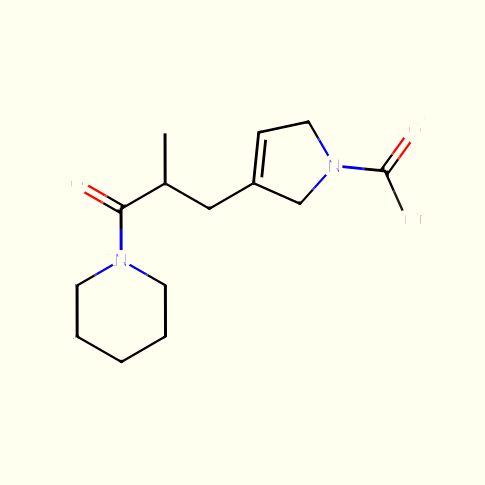 CC(C)C(=O)N1CC=C(CC(C)C(=O)N2CCCCC2)C1